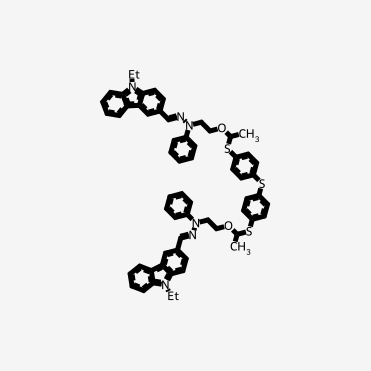 CCn1c2ccccc2c2cc(/C=N/N(CCOC(C)Sc3ccc(Sc4ccc(SC(C)OCCN(/N=C/c5ccc6c(c5)c5ccccc5n6CC)c5ccccc5)cc4)cc3)c3ccccc3)ccc21